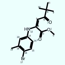 COC(=O)C(=CC(=O)C(C)(C)C)Nc1ccc(Br)c(C)c1